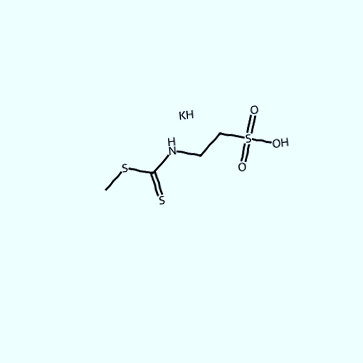 CSC(=S)NCCS(=O)(=O)O.[KH]